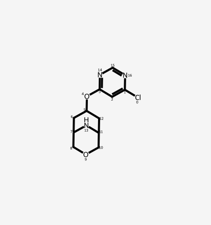 Clc1cc(OC2CC3COCC(C2)N3)ncn1